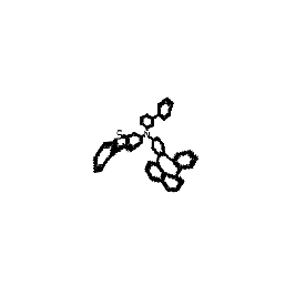 c1ccc(-c2cccc(N(c3ccc4c(c3)-c3cccc5cccc(c35)-c3ccccc3-4)c3ccc4c(c3)sc3ccccc34)c2)cc1